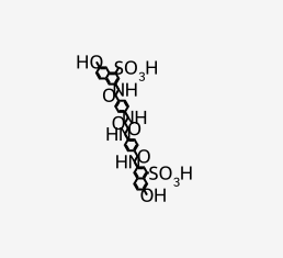 O=C(Nc1ccc(C(=O)Nc2cc(S(=O)(=O)O)c3cc(O)ccc3c2)cc1)C(=O)Nc1ccc(C(=O)Nc2cc(S(=O)(=O)O)c3cc(O)ccc3c2)cc1